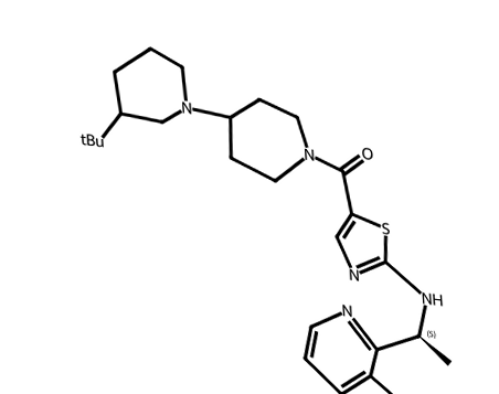 C[C@H](Nc1ncc(C(=O)N2CCC(N3CCCC(C(C)(C)C)C3)CC2)s1)c1ncccc1F